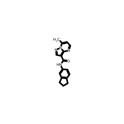 Cc1ccnc2c(C(=O)Nc3ccc4c(c3)CCC4)cnn12